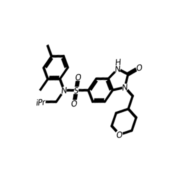 Cc1ccc(N(CC(C)C)S(=O)(=O)c2ccc3c(c2)[nH]c(=O)n3CC2CCOCC2)c(C)c1